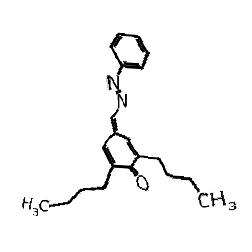 CCCCC1=CC(=CN=Nc2ccccc2)C=C(CCCC)C1=O